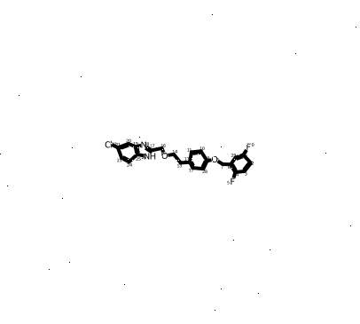 Fc1ccc(F)c(COc2ccc(CCOCc3nc4cc(Cl)ccc4[nH]3)cc2)c1